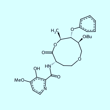 COc1ccnc(C(=O)N[C@H]2CCOC[C@H](OCC(C)C)[C@@H](Oc3ccccc3)[C@H](C)OC2=O)c1O